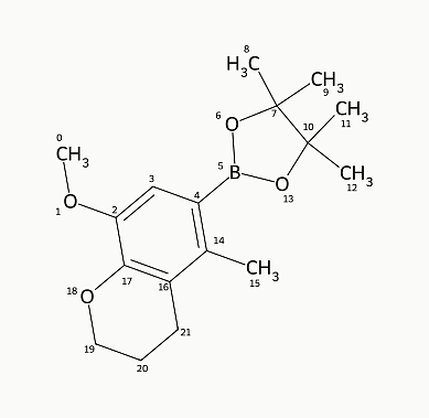 COc1cc(B2OC(C)(C)C(C)(C)O2)c(C)c2c1OCCC2